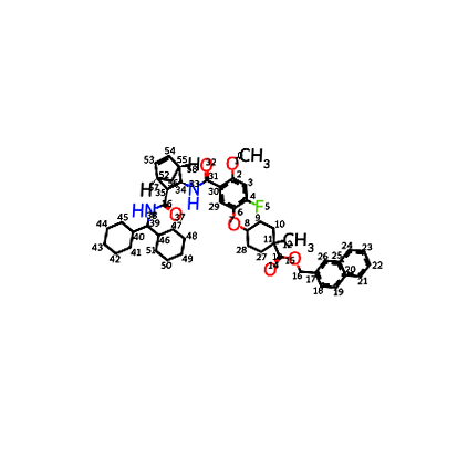 COc1cc(F)c(OC2CCC(C)(C(=O)OCc3ccc4ccccc4c3)CC2)cc1C(=O)N[C@H]1[C@@H](C(=O)NC(C2CCCCC2)C2CCCCC2)[C@H]2C=C[C@H]1C2